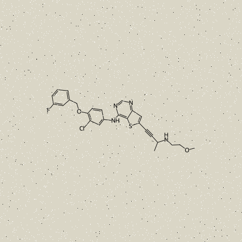 COCCNC(C)C#Cc1cc2ncnc(Nc3ccc(OCc4cccc(F)c4)c(Cl)c3)c2s1